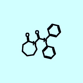 O=C1CCCCCN1C(=O)N(c1ccccc1)c1ccccc1